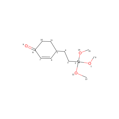 CO[Si](CCC1C=CC(=O)CC1)(OC)OC